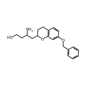 NC(CCO)CC1CCc2ccc(OCc3ccccc3)cc2O1